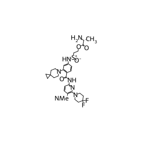 CNc1ccc(NC(=O)c2ccc(N[S+]([O-])CCOC(=O)[C@@H](C)N)cc2N2CCC3(CC2)CC3)nc1N1CCC(F)(F)CC1